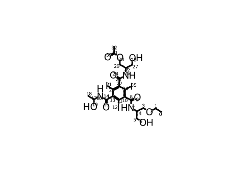 CCOCC(CO)NC(=O)c1c(I)c(C(=O)NC(C)O)c(I)c(C(=O)NC(CO)COC(C)=O)c1I